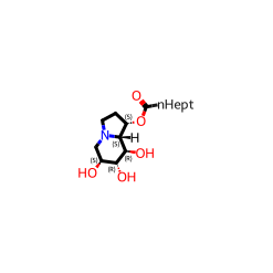 CCCCCCCC(=O)O[C@H]1CCN2C[C@H](O)[C@@H](O)[C@H](O)[C@@H]12